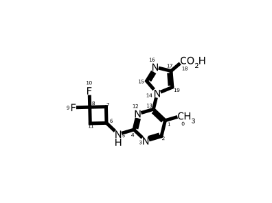 Cc1cnc(NC2CC(F)(F)C2)nc1-n1cnc(C(=O)O)c1